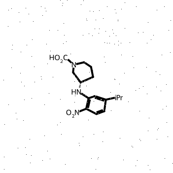 CC(C)c1ccc([N+](=O)[O-])c(N[C@H]2CCCN(C(=O)O)C2)c1